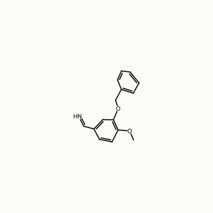 COc1ccc(C=N)cc1OCc1ccccc1